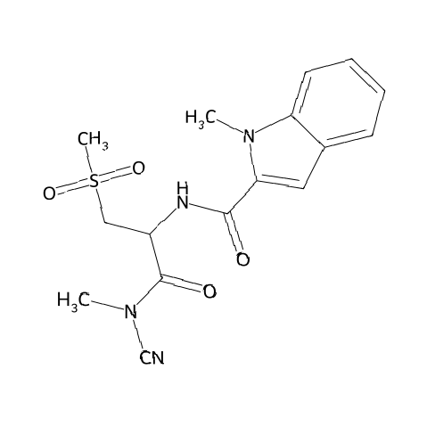 CN(C#N)C(=O)C(CS(C)(=O)=O)NC(=O)c1cc2ccccc2n1C